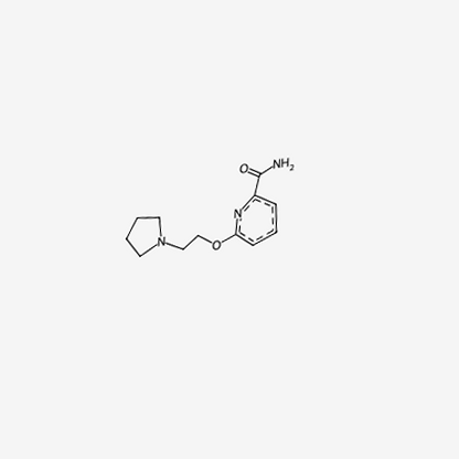 NC(=O)c1cccc(OCCN2CCCC2)n1